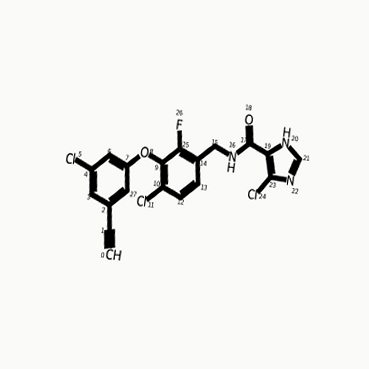 C#Cc1cc(Cl)cc(Oc2c(Cl)ccc(CNC(=O)c3[nH]cnc3Cl)c2F)c1